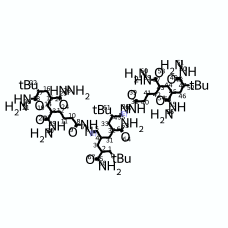 CC(C)(C)CC(CC(/C=N/NC(=O)CCCC(CC(CC(C(=O)NN)C(C)(C)C)C(=O)NN)C(=O)NN)CC(CC(/C=N/NC(=O)CCCC(CC(CC(C(=O)NN)C(C)(C)C)C(=O)NN)C(=O)NN)C(C)(C)C)C(N)=O)C(N)=O